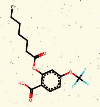 CCCCCCC(=O)Oc1cc(OC(F)(F)F)ccc1C(=O)O